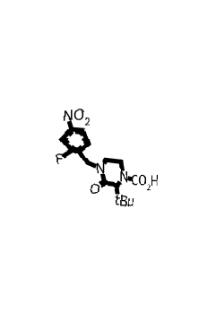 CC(C)(C)C1C(=O)N(Cc2ccc([N+](=O)[O-])cc2F)CCN1C(=O)O